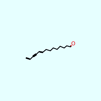 C=CC#C/C=C/CCCCCCCC=O